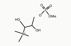 CC(O)C(O)[N+](C)(C)C.COS(=O)(=O)[O-]